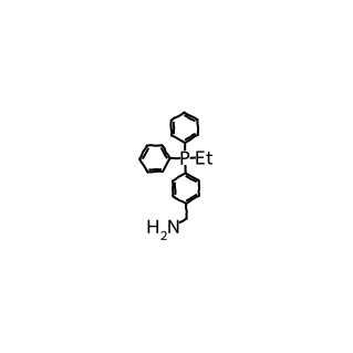 CC[P](c1ccccc1)(c1ccccc1)c1ccc(CN)cc1